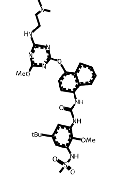 COc1nc(NCCN(C)C)nc(Oc2ccc(NC(=O)Nc3cc(C(C)(C)C)cc(NS(C)(=O)=O)c3OC)c3ccccc23)n1